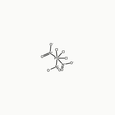 O=[N+]([O-])[Pt]([Cl])([Cl])([Cl])([N+](=O)[O-])[N+](=O)[O-]